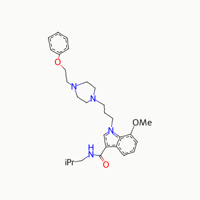 COc1cccc2c(C(=O)NCC(C)C)cn(CCCN3CCN(CCOc4ccccc4)CC3)c12